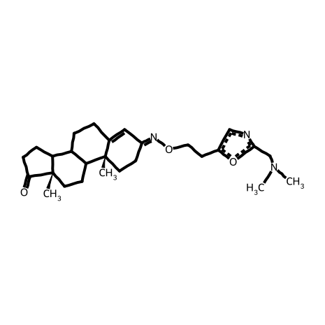 CN(C)Cc1ncc(CCON=C2C=C3CCC4C(CC[C@]5(C)C(=O)CCC45)[C@@]3(C)CC2)o1